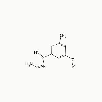 CC(C)Oc1cc(C(=N)/N=C\N)cc(C(F)(F)F)c1